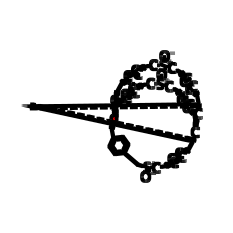 [O-][S+]1Cc2ccc(cc2)-c2cc3cc(c2)-c2ccc(cc2)C[S+]([O-])Cc2ccc(cc2)-c2cc(cc(c2)-c2ccc(cc2)C[S+]([O-])Cc2ccc-3cc2)-c2ccc(cc2)C1